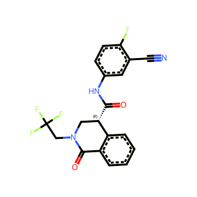 N#Cc1cc(NC(=O)[C@H]2CN(CC(F)(F)F)C(=O)c3ccccc32)ccc1F